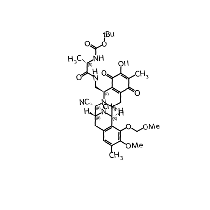 COCOc1c(OC)c(C)cc2c1[C@@H]1[C@@H]3CC4=C(C(=O)C(O)=C(C)C4=O)[C@H](CNC(=O)[C@H](C)NC(=O)OC(C)(C)C)N3[C@@H](C#N)[C@@H](C2)N1C